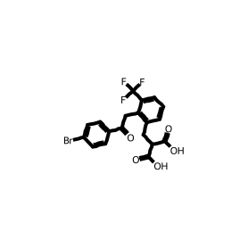 O=C(Cc1c(CC(C(=O)O)C(=O)O)cccc1C(F)(F)F)c1ccc(Br)cc1